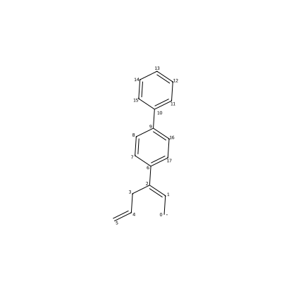 [CH2]C=C(CC=C)c1ccc(-c2ccccc2)cc1